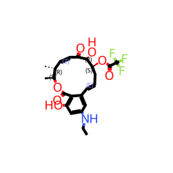 CCNc1cc(O)c2c(c1)/C=C/C[C@H](OC(=O)C(F)(F)F)[C@@H](O)C(=O)/C=C\[C@@H](C)[C@H](C)OC2=O